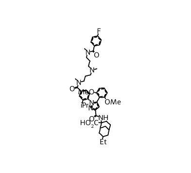 CCC1CC2CCC(NC(=O)c3cc(-c4c(OC)cccc4OC)n(-c4ccc(C(=O)N(C)CCCN(C)CCCN(C)C(=O)c5ccc(F)cc5)cc4C(C)C)n3)(C(=O)O)C(C1)C2